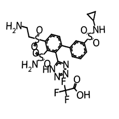 NCCS(=O)(=O)c1ccc(-c2cccc(S(=O)(=O)NC3CC3)c2)c(-c2nnn[nH]2)c1S(N)(=O)=O.O=C(O)C(F)(F)F